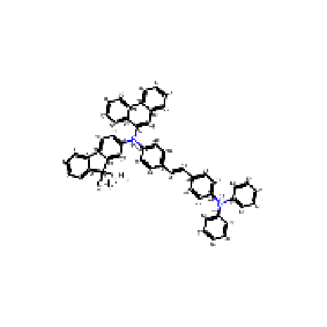 CC1(C)c2ccccc2-c2ccc(N(c3ccc(/C=C/c4ccc(N(c5ccccc5)c5ccccc5)cc4)cc3)c3cc4ccccc4c4ccccc34)cc21